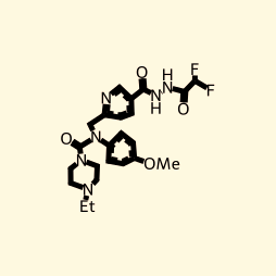 CCN1CCN(C(=O)N(Cc2ccc(C(=O)NNC(=O)C(F)F)cn2)c2ccc(OC)cc2)CC1